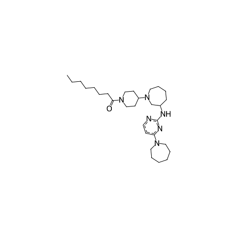 CCCCCCCC(=O)N1CCC(N2CCCCC(Nc3nccc(N4CCCCCC4)n3)C2)CC1